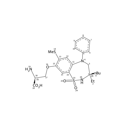 CCCC[C@]1(CC)CN(c2ccccc2)c2cc(SC)c(OC[C@H](N)C(=O)O)cc2S(=O)(=O)N1